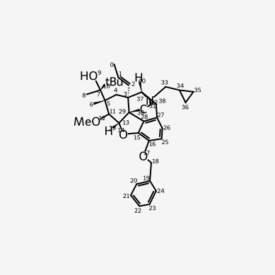 C/C=C/[C@@]12C[C@@](C)([C@](C)(O)C(C)(C)C)C(OC)[C@H]3Oc4c(OCc5ccccc5)ccc5c4[C@]31CCN(CC1CC1)[C@H]2C5